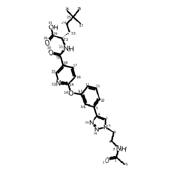 CC(=O)NCCn1cc(-c2cccc(Oc3ccc(C(=O)N[C@@H](CCC(C)(C)C)C(=O)O)cn3)c2)nn1